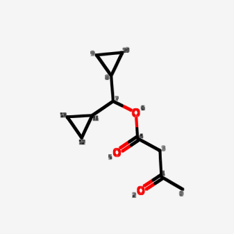 CC(=O)CC(=O)OC(C1CC1)C1CC1